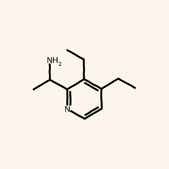 CCc1ccnc(C(C)N)c1CC